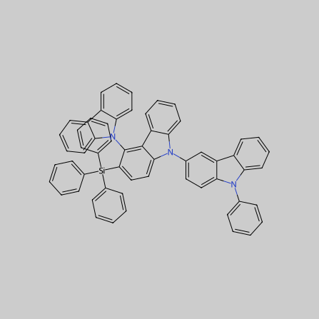 c1ccc(-n2c3ccccc3c3cc(-n4c5ccccc5c5c(-n6c7ccccc7c7ccccc76)c([Si](c6ccccc6)(c6ccccc6)c6ccccc6)ccc54)ccc32)cc1